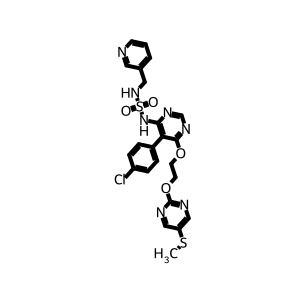 CSc1cnc(OCCOc2ncnc(NS(=O)(=O)NCc3cccnc3)c2-c2ccc(Cl)cc2)nc1